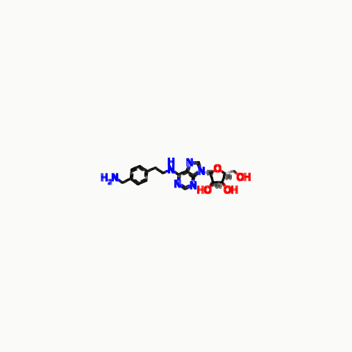 NCc1ccc(CCNc2ncnc3c2ncn3[C@@H]2O[C@H](CO)[C@@H](O)[C@H]2O)cc1